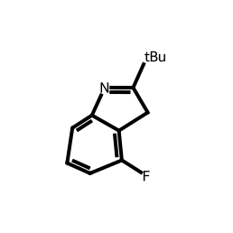 CC(C)(C)C1=Nc2cccc(F)c2C1